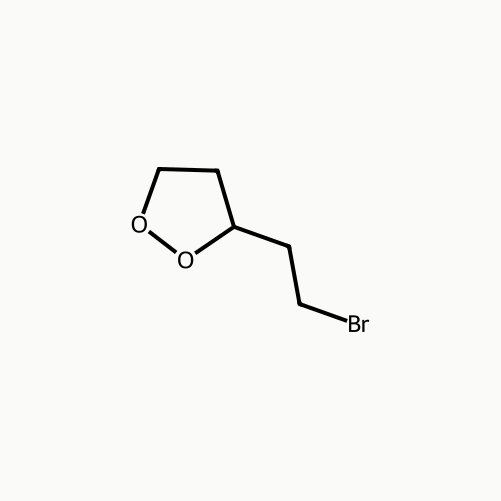 BrCCC1CCOO1